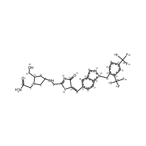 NC(=O)CN1CC(NCC2=NC(=O)C(=Cc3ccc4c(cnn4Cc4ccc(C(F)(F)F)cc4C(F)(F)F)c3)S2)CC1CO